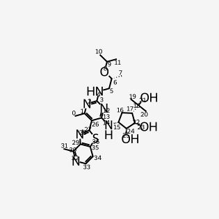 Cc1nc(NC[C@@H](C)OC(C)C)nc(N[C@@H]2C[C@H](C(C)(C)O)[C@@H](O)[C@H]2O)c1-c1nc2c(C)nccc2s1